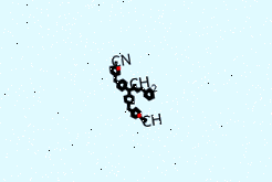 C#Cc1ccc(CC2CCC(C(C(=C)CCc3ccccc3)c3ccc(Cc4ccc(C#N)cc4)cc3)CC2)cc1